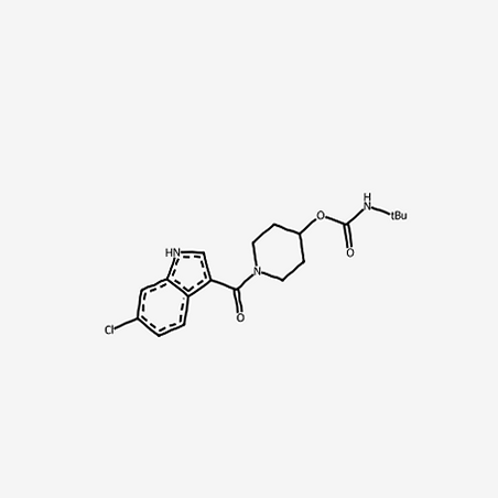 CC(C)(C)NC(=O)OC1CCN(C(=O)c2c[nH]c3cc(Cl)ccc23)CC1